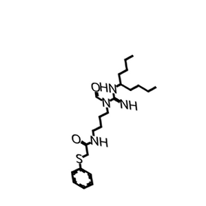 CCCCC(CCCC)NC(=N)N(C=O)CCCCNC(=O)CSc1ccccc1